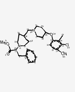 COC(=O)[C@H](Cc1ccccc1)N1CCC(CN2CCC(Oc3ccc(C#N)c(Cl)c3C)CC2)CC1